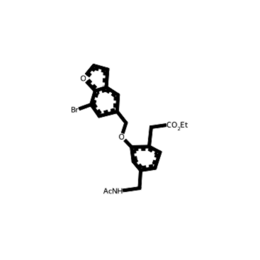 CCOC(=O)Cc1ccc(CNC(C)=O)cc1OCc1cc(Br)c2occc2c1